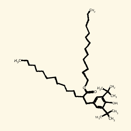 CCCCCCCCCCCCCOC(=O)C(CCCCCCCCCCCCC)Cc1cc(C(C)(C)C)c(O)c(C(C)(C)C)c1